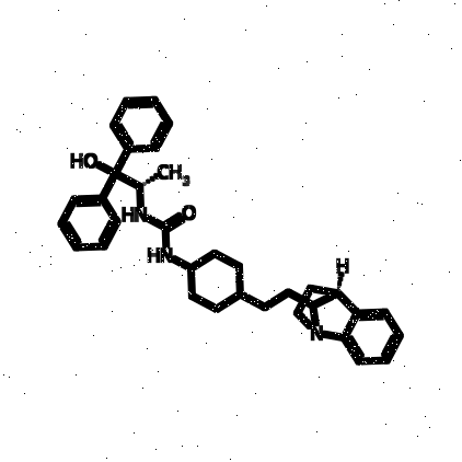 C[C@H](NC(=O)NC1CCC(CCC2[C@H]3CCN2c2ccccc23)CC1)C(O)(c1ccccc1)c1ccccc1